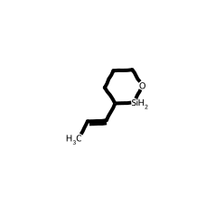 CC=CC1CCCO[SiH2]1